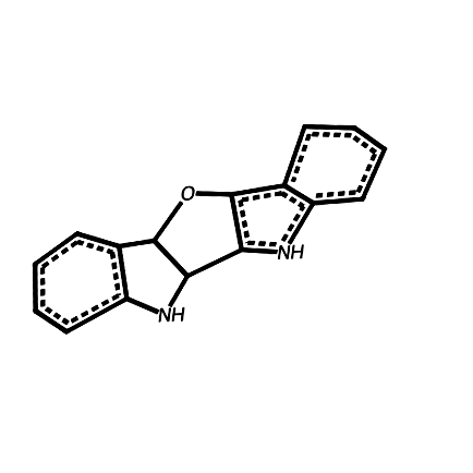 c1ccc2c(c1)NC1c3[nH]c4ccccc4c3OC21